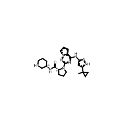 CC1(c2cc(Nc3nc(N4CCC[C@H]4C(=O)N[C@@H]4CCCNC4)nn4cccc34)n[nH]2)CC1